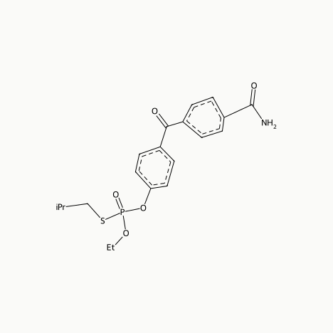 CCOP(=O)(Oc1ccc(C(=O)c2ccc(C(N)=O)cc2)cc1)SCC(C)C